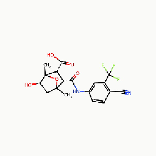 CC12C[C@@H](O)C(C)(O1)[C@H](C(=O)O)[C@@H]2C(=O)Nc1ccc(C#N)c(C(F)(F)F)c1